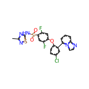 Cc1nsc(NS(=O)(=O)c2cc(F)c(Oc3ccc(Cl)cc3-c3cccc4nccn34)cc2F)n1